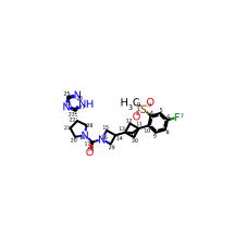 CS(=O)(=O)c1cc(F)ccc1C12CC(C3CN(C(=O)N4CC[C@H](c5ncn[nH]5)C4)C3)(C1)C2